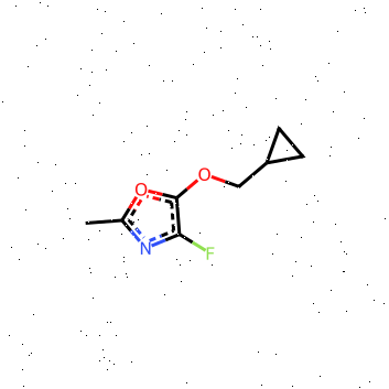 Cc1nc(F)c(OCC2CC2)o1